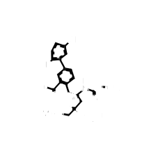 C=C(CC)c1cc(-c2cc(Cl)ccc2F)ccc1C[C@H](C[C@@](C)(COC)C(=O)OCC)NC(=O)OC(C)(C)C